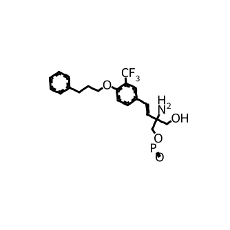 NC(/C=C/c1ccc(OCCCc2ccccc2)c(C(F)(F)F)c1)(CO)COP=O